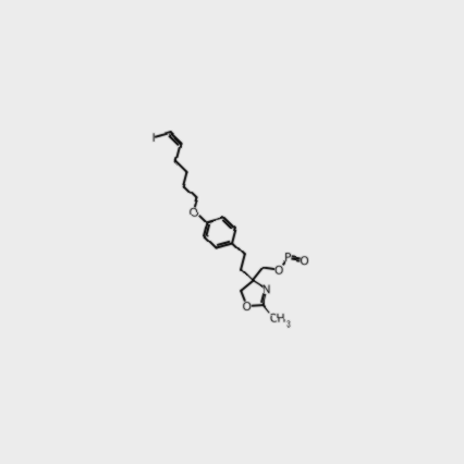 CC1=NC(CCc2ccc(OCCCC/C=C\I)cc2)(COP=O)CO1